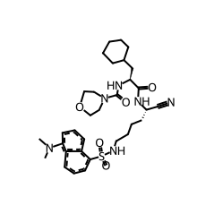 CN(C)c1cccc2c(S(=O)(=O)NCCCC[C@@H](C#N)NC(=O)[C@H](CC3CCCCC3)NC(=O)N3CCOCC3)cccc12